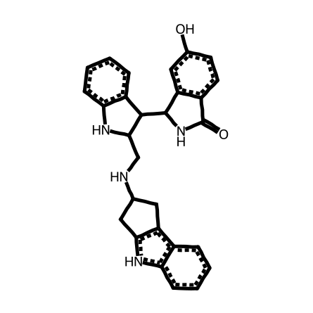 O=C1NC(C2c3ccccc3NC2CNC2Cc3[nH]c4ccccc4c3C2)c2cc(O)ccc21